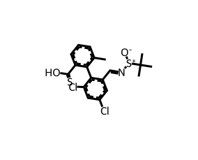 Cc1cccc(C(O)=S)c1-c1c(Cl)cc(Cl)cc1/C=N/[S+]([O-])C(C)(C)C